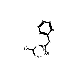 CCC(OC)O[SiH](O)Cc1ccccc1